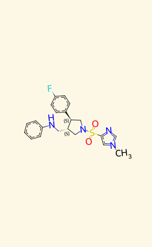 Cn1cnc(S(=O)(=O)N2C[C@H](CNc3ccccc3)[C@@H](c3ccc(F)cc3)C2)c1